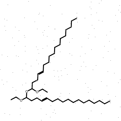 CCOC(CCC=CCCCCCCCCCCCI)OC(CCC=CCCCCCCCCCCCI)OCC